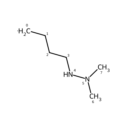 [CH2]CCCNN(C)C